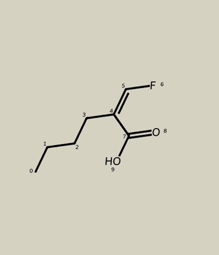 CCCC/C(=C/F)C(=O)O